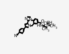 CN(C)CC(C)(C)NC(=O)c1ccc2c(c1)Cn1cc(-c3ccc(C#N)cc3)cc1-c1nccn1-2